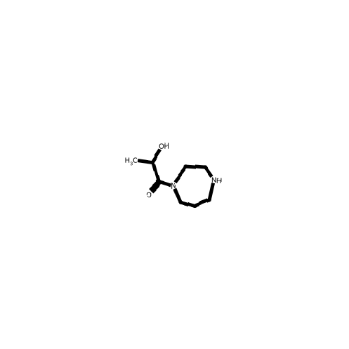 CC(O)C(=O)N1CCCNCC1